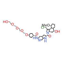 COc1cccc2c(O)cc3c(c12)[C@H](CCl)CN3C(=O)c1cc2cc(NC(=O)c3ccc(OCCOCCOCCOCCO)cc3)ncc2[nH]1